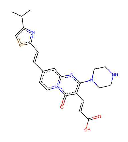 CC(C)c1csc(C=Cc2ccn3c(=O)c(C=CC(=O)O)c(N4CCNCC4)nc3c2)n1